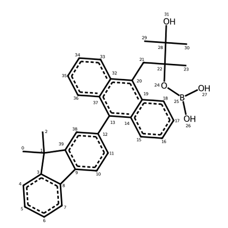 CC1(C)c2ccccc2-c2ccc(-c3c4ccccc4c(CC(C)(OB(O)O)C(C)(C)O)c4ccccc34)cc21